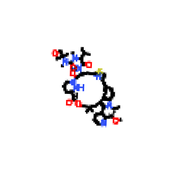 CCn1c(-c2cccnc2[C@H](C)OC)c2c3cc(ccc31)-c1csc(n1)C[C@H](NC(=O)C(C(C)C)N(C)C(=O)N(C)C1(C)COC1)C(=O)N1CCC[C@H](N1)C(=O)OCC(C)(C)C2